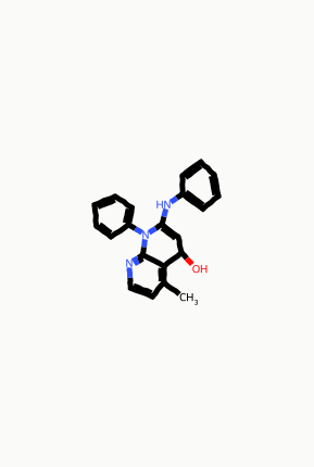 Cc1ccnc2c1C(O)C=C(Nc1ccccc1)N2c1ccccc1